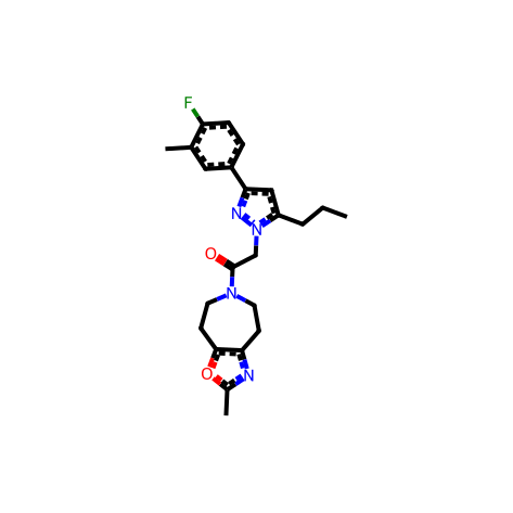 CCCc1cc(-c2ccc(F)c(C)c2)nn1CC(=O)N1CCc2nc(C)oc2CC1